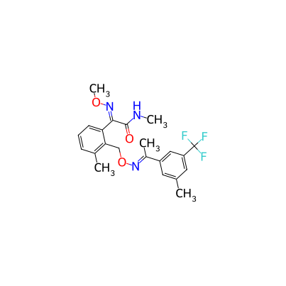 CNC(=O)/C(=N/OC)c1cccc(C)c1CO/N=C(\C)c1cc(C)cc(C(F)(F)F)c1